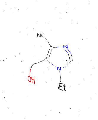 CCn1cnc(C#N)c1CO